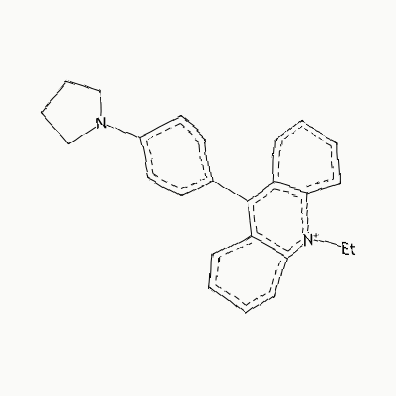 CC[n+]1c2ccccc2c(-c2ccc(N3CCCC3)cc2)c2ccccc21